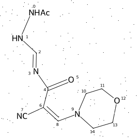 CC(=O)NNC=NC(=O)C(C#N)=CN1CCOCC1